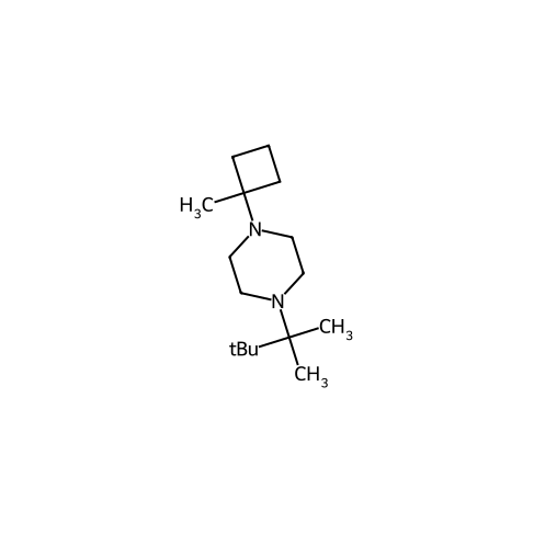 CC1(N2CCN(C(C)(C)C(C)(C)C)CC2)CCC1